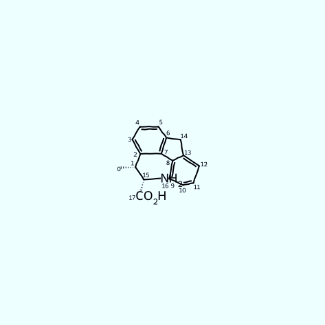 C[C@H](c1cccc2c1-c1ccccc1C2)[C@H](N)C(=O)O